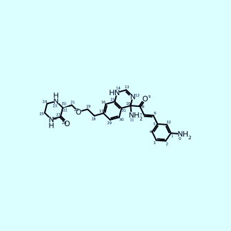 Nc1cccc(C=CC(=O)C2(N)N=CNc3cc(CCOC[C@@H]4NCCNC4=O)ccc32)c1